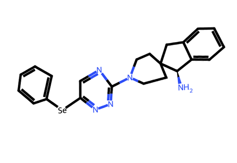 N[C@@H]1c2ccccc2CC12CCN(c1ncc([Se]c3ccccc3)nn1)CC2